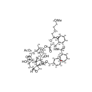 COCCOCC(=O)O[C@@H](C(=O)O[C@H]1C[C@@]2(O)[C@@H](OOCc3ccccc3)[C@H]3[C@@H](C(=O)[C@H](OC(C)=O)C(=C1C)C2(C)C)[C@@H](O)C[C@H]1OC[C@@]31OC(C)=O)[C@@H](NC(=O)c1ccccc1)c1ccccc1